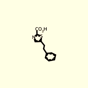 O=C(O)c1ncc(CCc2ccccc2)s1